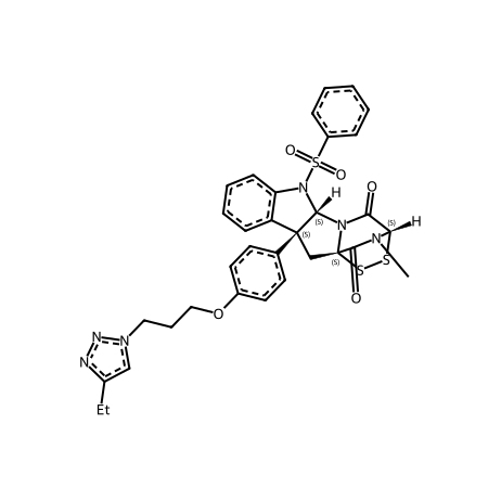 CCc1cn(CCCOc2ccc([C@]34C[C@@]56SS[C@@H](C(=O)N5[C@H]3N(S(=O)(=O)c3ccccc3)c3ccccc34)N(C)C6=O)cc2)nn1